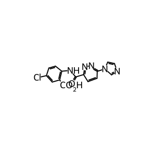 O=C(Nc1ccc(Cl)cc1C(=O)O)c1ccc(-n2ccnc2)nn1